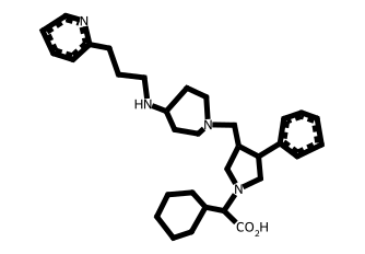 O=C(O)C(C1CCCCC1)N1CC(CN2CCC(NCCCc3ccccn3)CC2)C(c2ccccc2)C1